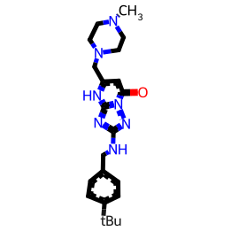 CN1CCN(Cc2cc(=O)n3nc(NCc4ccc(C(C)(C)C)cc4)nc3[nH]2)CC1